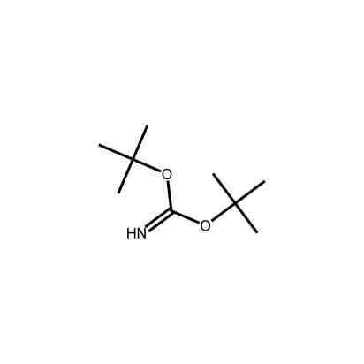 CC(C)(C)OC(=N)OC(C)(C)C